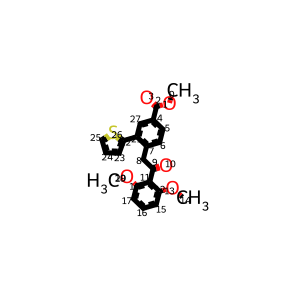 COC(=O)c1ccc(CC(=O)c2c(OC)cccc2OC)c(-c2cccs2)c1